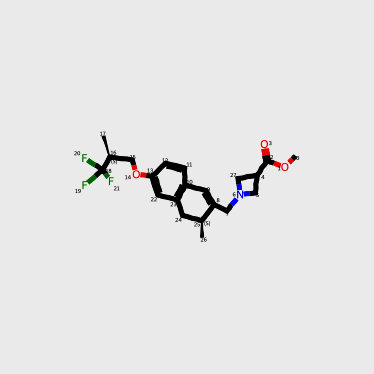 COC(=O)C1CN(CC2=Cc3ccc(OC[C@H](C)C(F)(F)F)cc3C[C@@H]2C)C1